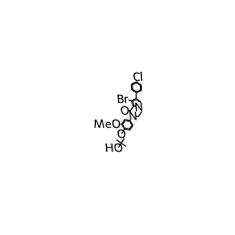 COc1cc(N2CCn3cc(-c4ccc(Cl)cc4)c(Br)c3C2=O)ccc1OCC(C)(C)O